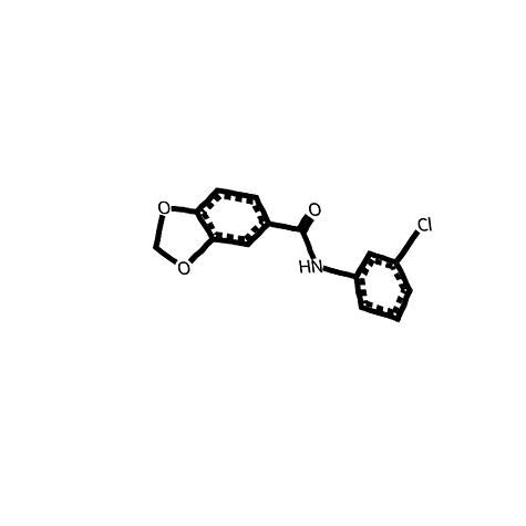 O=C(Nc1cccc(Cl)c1)c1ccc2c(c1)OCO2